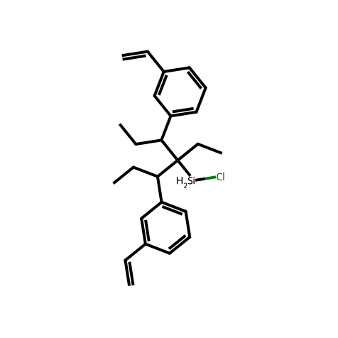 C=Cc1cccc(C(CC)C(CC)([SiH2]Cl)C(CC)c2cccc(C=C)c2)c1